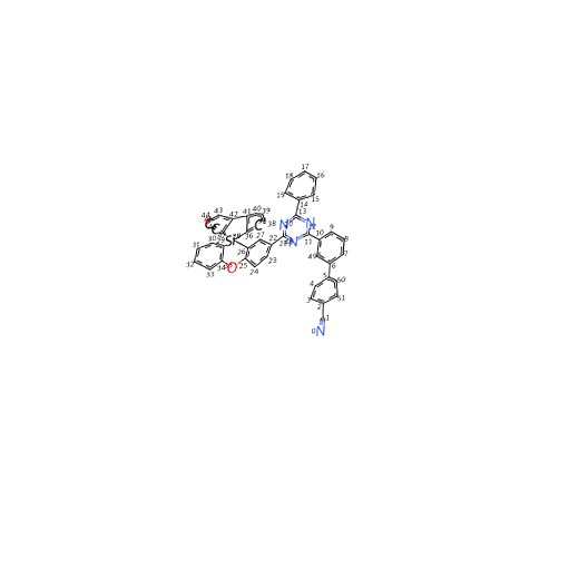 N#Cc1ccc(-c2cccc(-c3nc(-c4ccccc4)nc(-c4ccc5c(c4)[Si]4(c6ccccc6O5)c5ccccc5-c5ccccc54)n3)c2)cc1